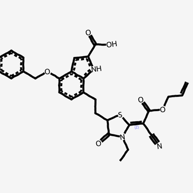 C=CCOC(=O)/C(C#N)=C1\SC(CCc2ccc(OCc3ccccc3)c3cc(C(=O)O)[nH]c23)C(=O)N1CC